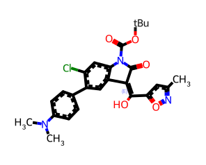 Cc1cc(/C(O)=C2\C(=O)N(C(=O)OC(C)(C)C)c3cc(Cl)c(-c4ccc(N(C)C)cc4)cc32)on1